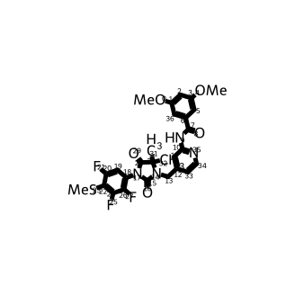 COc1cc(OC)cc(C(=O)Nc2cc(CN3C(=O)N(c4cc(F)c(SC)c(F)c4F)C(=O)C3(C)C)ccn2)c1